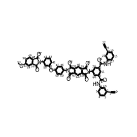 C#Cc1cccc(NC(=O)c2cc(C(=O)Nc3cccc(C#C)c3)cc(-n3c(=O)c4cc5c(=O)n(-c6ccc(Oc7cccc(N8C(=O)c9ccc(OC)cc9C8=O)c7)cc6)c(=O)c5cc4c3=O)c2)c1